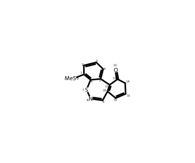 CSc1cccc2c1SN=CC1=C2C(=O)CC=C1